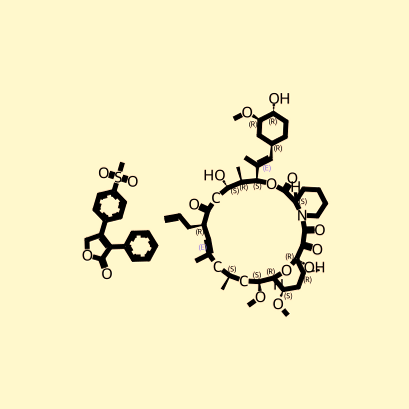 C=CC[C@@H]1/C=C(\C)C[C@H](C)C[C@H](OC)[C@H]2O[C@@](O)(C(=O)C(=O)N3CCCC[C@H]3C(=O)O[C@H](/C(C)=C/[C@@H]3CC[C@@H](O)[C@H](OC)C3)[C@H](C)[C@@H](O)CC1=O)[C@H](C)C[C@@H]2OC.CS(=O)(=O)c1ccc(C2=C(c3ccccc3)C(=O)OC2)cc1